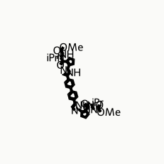 COC(=O)NN(C(=O)C1=C(c2ncc(-c3ccc(-c4ccc(-c5cnc(C6=C(C(=O)N(NC(=O)OC)C(C)C)CCC6)[nH]5)cc4)cc3)[nH]2)CCC1)C(C)C